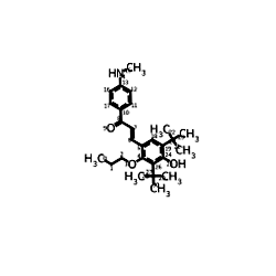 CCCOc1c(C=CC(=O)c2ccc(NC)cc2)cc(C(C)(C)C)c(O)c1C(C)(C)C